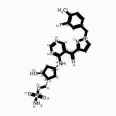 Cc1ccc(Cn2ccc(C(=O)c3cncnc3N[C@@H]3C[C@H](COS(N)(=O)=O)[C@@H](O)C3)n2)cc1F